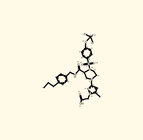 CCCc1ccc(CNC(=O)C2CN(c3cc(C)n(CC(=O)O)n3)CCN2S(=O)(=O)c2ccc(OC(F)(F)F)cc2)cc1